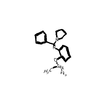 C[SiH](C)Oc1ccccc1N=C(c1ccccc1)N1CCCC1